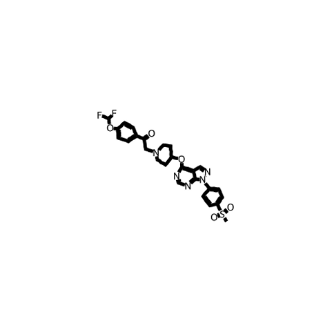 CS(=O)(=O)c1ccc(-n2ncc3c(OC4CCN(CC(=O)c5ccc(OC(F)F)cc5)CC4)ncnc32)cc1